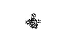 c1ccc(-c2cc(-c3ccccc3)nc(-c3nc4ccccc4c4cc5ccc6cccnc6c5nc34)n2)cc1